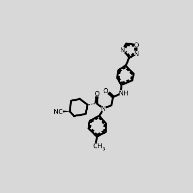 Cc1ccc(N(CC(=O)Nc2ccc(-c3ncon3)cc2)C(=O)[C@H]2CC[C@H](C#N)CC2)cc1